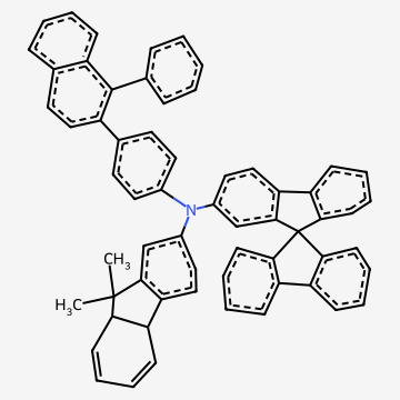 CC1(C)c2cc(N(c3ccc(-c4ccc5ccccc5c4-c4ccccc4)cc3)c3ccc4c(c3)C3(c5ccccc5-c5ccccc53)c3ccccc3-4)ccc2C2C=CC=CC21